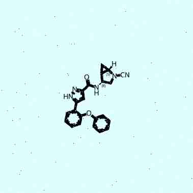 N#CN1C[C@H](NC(=O)c2cc(-c3ccccc3Oc3ccccc3)[nH]n2)C2C[C@@H]21